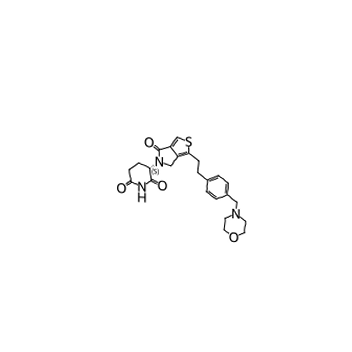 O=C1CC[C@H](N2Cc3c(csc3CCc3ccc(CN4CCOCC4)cc3)C2=O)C(=O)N1